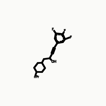 CCCC1CCC(CC(O)C#Cc2cc(F)c(F)c(F)c2)CC1